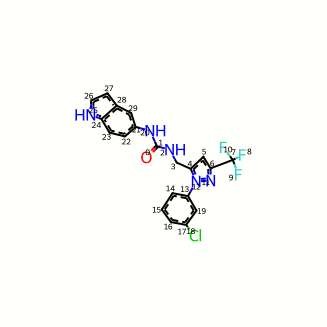 O=C(NCc1cc(C(F)(F)F)nn1-c1cccc(Cl)c1)Nc1ccc2[nH]ccc2c1